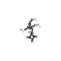 CC[C@@H](OCCCN)C1[C@@H]2CC[C@H]([C@H](C)CCCNC(=O)CN3CCN(CC=O)CCN(CC=O)CCN(CC=O)CC3)[C@@]2(C)[C@@H](OCCCN)C[C@@H]1[C@]1(C)CC[C@H](OCCCN)CC1